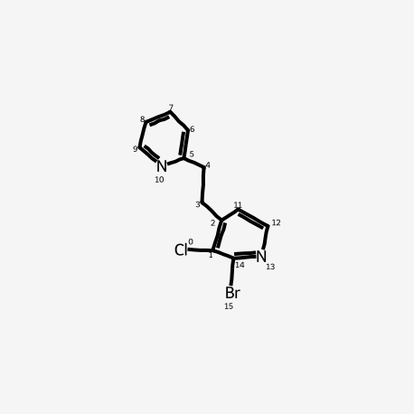 Clc1c(CCc2ccccn2)ccnc1Br